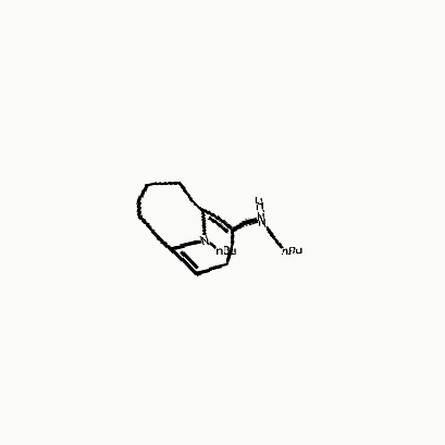 CCCCNC1=C2CCCC(=CC1)N2CCCC